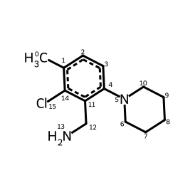 Cc1ccc(N2CCCCC2)c(CN)c1Cl